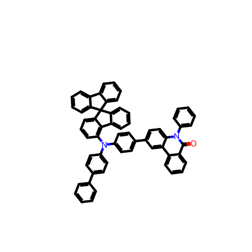 O=c1c2ccccc2c2cc(-c3ccc(N(c4ccc(-c5ccccc5)cc4)c4cccc5c4-c4ccccc4C54c5ccccc5-c5ccccc54)cc3)ccc2n1-c1ccccc1